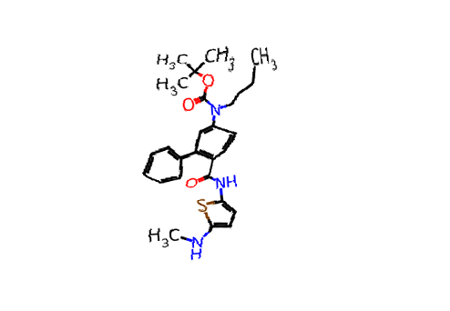 CCCCN(C(=O)OC(C)(C)C)c1ccc(C(=O)Nc2ccc(NC)s2)c(-c2ccccc2)c1